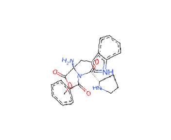 COC(=O)[C@](N)(Cc1c[nH]c2ccccc12)N(C(=O)c1ccccc1)C(=O)[C@@H]1CCCN1